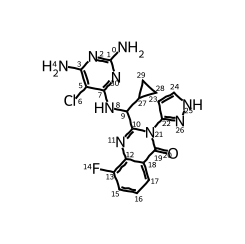 Nc1nc(N)c(Cl)c(NC(c2nc3c(F)cccc3c(=O)n2-c2cc[nH]n2)C2CC2)n1